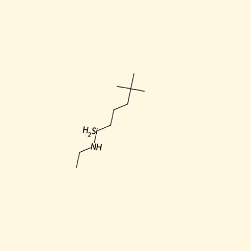 CCN[SiH2]CCCC(C)(C)C